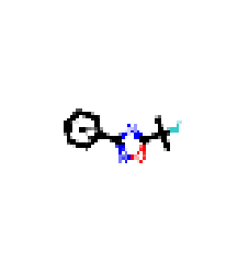 CC(C)(F)c1nc(C23CCC(CC2)CC3)no1